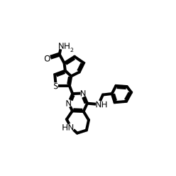 NC(=O)c1cccc2c(-c3nc4c(c(NCc5ccccc5)n3)CCCNC4)scc12